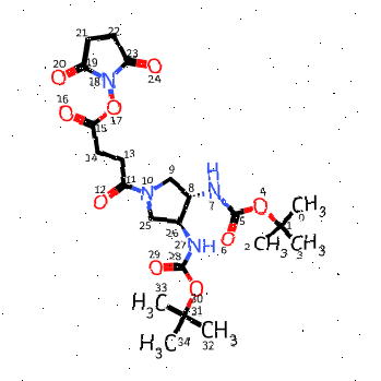 CC(C)(C)OC(=O)N[C@H]1CN(C(=O)CCC(=O)ON2C(=O)CCC2=O)C[C@@H]1NC(=O)OC(C)(C)C